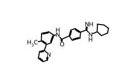 Cc1ccc(NC(=O)c2ccc(C(=N)NC3CCCCC3)cc2)cc1-c1ccccn1